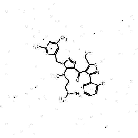 CN(C)CCN(C)c1c(C(=O)c2c(-c3ccccc3Cl)noc2CO)nnn1Cc1cc(C(F)(F)F)cc(C(F)(F)F)c1